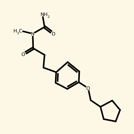 CN(C(N)=O)C(=O)[CH]Cc1ccc(OCC2CCCC2)cc1